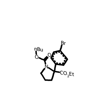 CCCCOC(=O)N1CCCC1(C(=O)OCC)c1ccc(Br)cc1